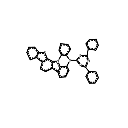 c1ccc(-c2nc(-c3ccccc3)nc(N3c4ccccc4-n4c5c3cccc5c3ccc5c6ccccc6sc5c34)n2)cc1